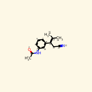 CC(=O)Nc1cccc(C(CC#N)=C(C)C)c1